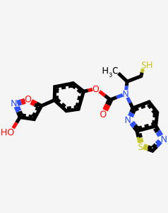 CC(CS)N(C(=O)Oc1ccc(-c2cc(O)no2)cc1)c1ccc2ncsc2n1